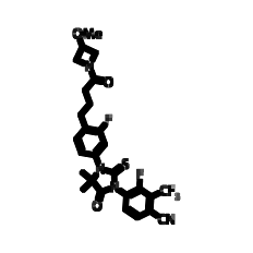 COC1CN(C(=O)CCCc2ccc(N3C(=S)N(c4ccc(C#N)c(C(F)(F)F)c4F)C(=O)C3(C)C)cc2F)C1